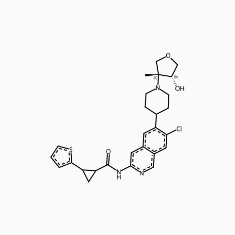 C[C@@]1(N2CCC(c3cc4cc(NC(=O)C5CC5c5cccs5)ncc4cc3Cl)CC2)COC[C@@H]1O